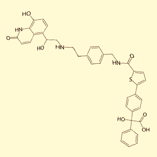 O=C(NCc1ccc(CCNCC(O)c2ccc(O)c3[nH]c(=O)ccc23)cc1)c1ccc(-c2ccc(C(O)(C(=O)O)c3ccccc3)cc2)s1